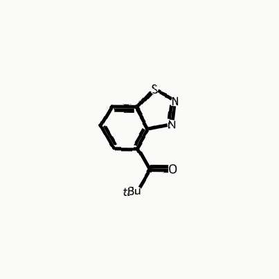 CC(C)(C)C(=O)c1cccc2snnc12